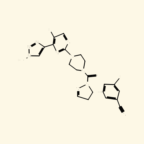 Cn1cc(-c2nc(N3CCN(C(=O)N4N=CC[C@H]4c4cc(F)cc(C#N)c4)CC3)ncc2F)nn1